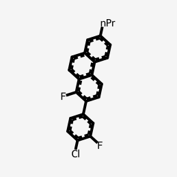 CCCc1ccc2c(ccc3c(F)c(-c4ccc(Cl)c(F)c4)ccc32)c1